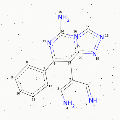 N=C/C(=C\N)c1c(-c2ccccc2)nc(N)n2cnnc12